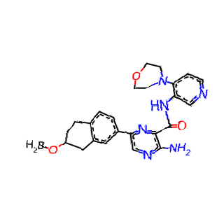 BOC1CCc2ccc(-c3cnc(N)c(C(=O)Nc4cnccc4N4CCOCC4)n3)cc2C1